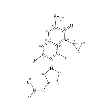 Cc1c(N2CCC(CN(C)Cl)C2)c(F)cc2cc(C(=O)O)c(=O)n(C3CC3)c12